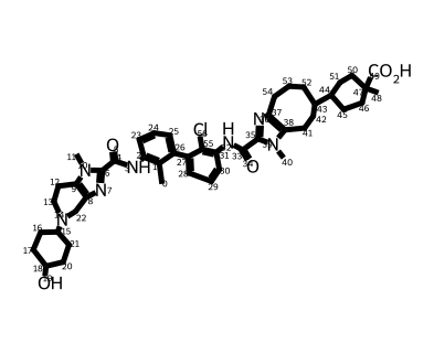 Cc1c(NC(=O)c2nc3c(n2C)CCN(C2CCC(O)CC2)C3)cccc1-c1cccc(NC(=O)c2nc3c(n2C)CCC(C2CCC(C)(C(=O)O)CC2)CCC3)c1Cl